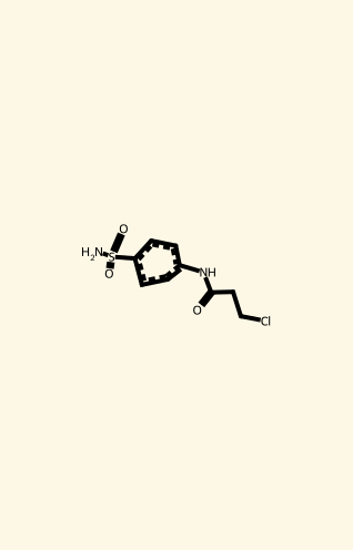 NS(=O)(=O)c1ccc(NC(=O)CCCl)cc1